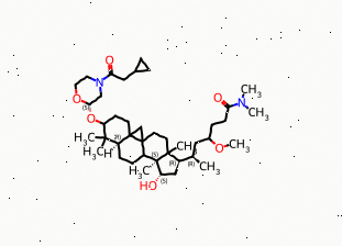 COC(CCC(=O)N(C)C)C[C@@H](C)[C@H]1C[C@H](O)[C@@]2(C)C3CC[C@H]4C(C)(C)C(O[C@H]5CN(C(=O)CC6CC6)CCO5)CCC45CC35CCC12C